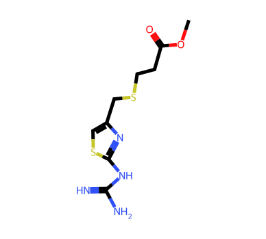 COC(=O)CCSCc1csc(NC(=N)N)n1